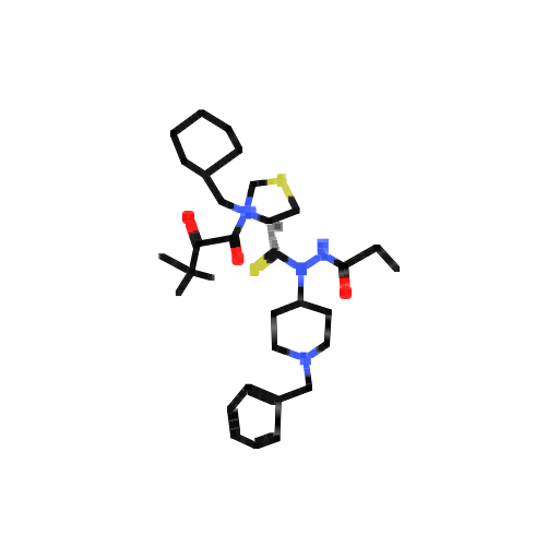 CCC(=O)NN(C(=S)[C@H]1CSC[N+]1(CC1CCCCC1)C(=O)C(=O)C(C)(C)C)C1CCN(Cc2ccccc2)CC1